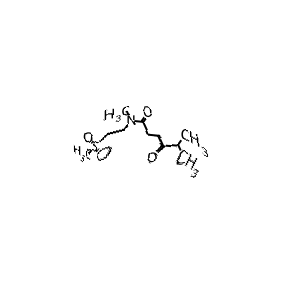 CC(C)C(=O)CCC(=O)N(C)CCS(C)(=O)=O